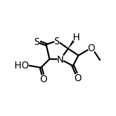 COC1C(=O)N2C(C(=O)O)C(=S)S[C@H]12